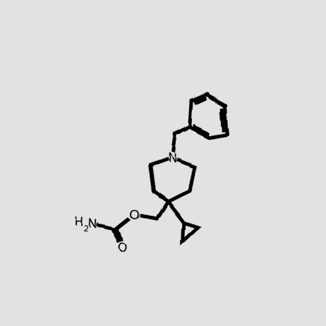 NC(=O)OCC1(C2CC2)CCN(Cc2ccccc2)CC1